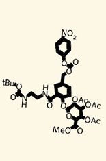 COC(=O)C1OC(Oc2ccc(COC(=O)Oc3ccc([N+](=O)[O-])cc3)cc2C(=O)NCCNC(=O)OC(C)(C)C)C(OC(C)=O)C(OC(C)=O)C1OC(C)=O